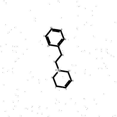 [C]1=CCCN(CCc2ccccc2)C1